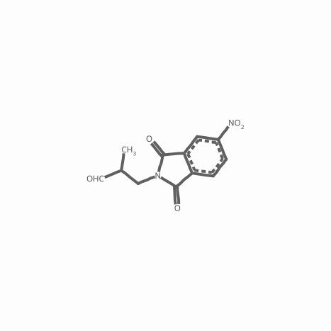 CC(C=O)CN1C(=O)c2ccc([N+](=O)[O-])cc2C1=O